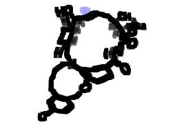 CCCC[C@H]1[C@@H](C)C/C=C/[C@H](O)[C@@H]2CC[C@H]2CN2CCCCc3cc(Cl)ccc3COc3ccc(cc32)C(=O)NS1(=O)=O